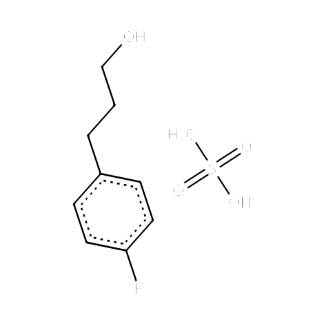 CS(=O)(=O)O.OCCCc1ccc(F)cc1